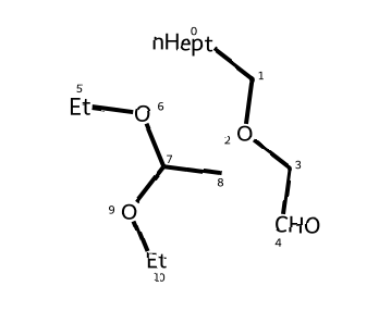 CCCCCCCCOCC=O.CCOC(C)OCC